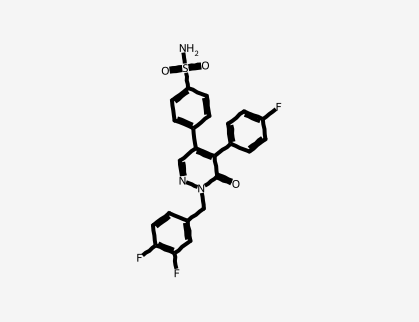 NS(=O)(=O)c1ccc(-c2cnn(Cc3ccc(F)c(F)c3)c(=O)c2-c2ccc(F)cc2)cc1